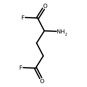 NC(CCC(=O)F)C(=O)F